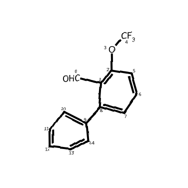 O=Cc1c(OC(F)(F)F)cccc1-c1ccccc1